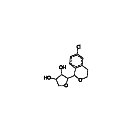 OC1COC(C2OCCc3cc(Cl)ccc32)C1O